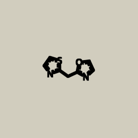 c1coc(Cc2nccs2)n1